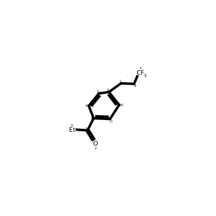 CCC(=O)c1ccc(CCC(F)(F)F)cc1